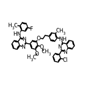 COc1cc(-c2nc(Nc3cc(F)ccc3C)c3ccccc3n2)cc(OCCc2ccc(Nc3nc(-c4ccccc4Cl)nc4ccccc34)c(C)c2)c1OC